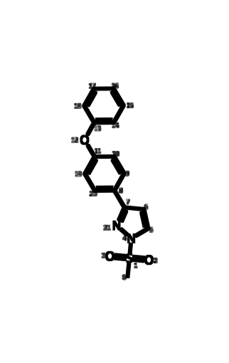 CS(=O)(=O)n1ccc(-c2ccc(Oc3ccccc3)cc2)n1